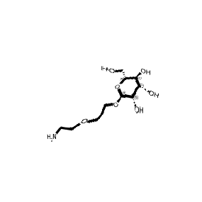 NCCOCCO[C@H]1O[C@H](CO)[C@@H](O)[C@H](O)[C@@H]1O